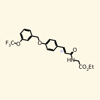 CCOC(=O)CNC(=O)/C=C/c1ccc(OCc2cccc(OC(F)(F)F)c2)cc1